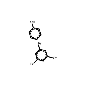 CC(C)c1cc(C(C)C)cc(C(C)C)c1.Oc1ccccc1